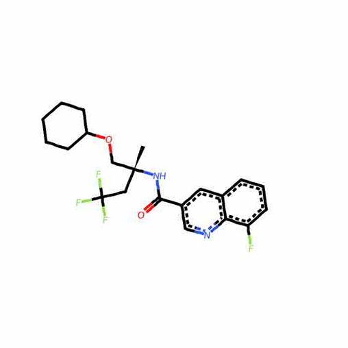 C[C@](COC1CCCCC1)(CC(F)(F)F)NC(=O)c1cnc2c(F)cccc2c1